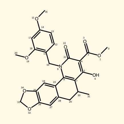 COC(=O)c1c(O)c2c(n(Cc3ccc(OC)cc3OC)c1=O)-c1cc3c(cc1CC2C)OCO3